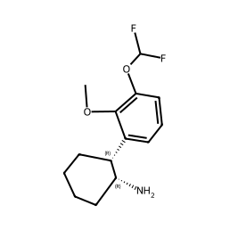 COc1c(OC(F)F)cccc1[C@H]1CCCC[C@H]1N